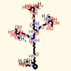 CC(=O)NC1C(OCCOCCNC(=O)CCC(NC(=O)CCC(NC(=O)CCCCCCC(=O)NCCCc2cn(CC(CO)OC(C)(C)C)c3ccccc23)C(=O)NCCOCCOC2OC(CO)C(O)C(O)C2NC(C)=O)C(=O)NCCOCCOC2OC(CO)C(O)C(O)C2NC(C)=O)OC(CO)C(O)C1O